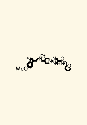 CCN(CCc1cn(C)c2cc(OC)ccc12)CC1CCN(c2ncc(C(=O)NOC3CCCCO3)cn2)CC1